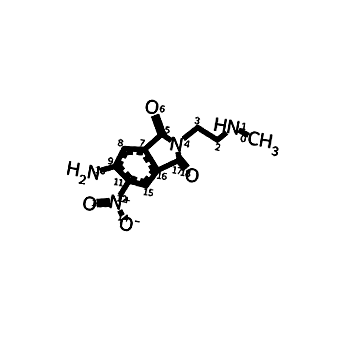 CNCCN1C(=O)c2cc(N)c([N+](=O)[O-])cc2C1=O